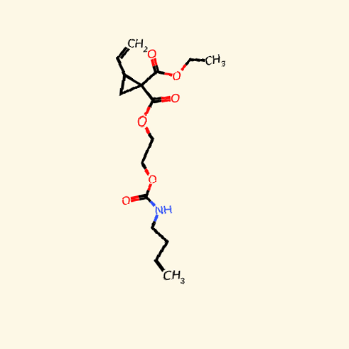 C=CC1CC1(C(=O)OCC)C(=O)OCCOC(=O)NCCCC